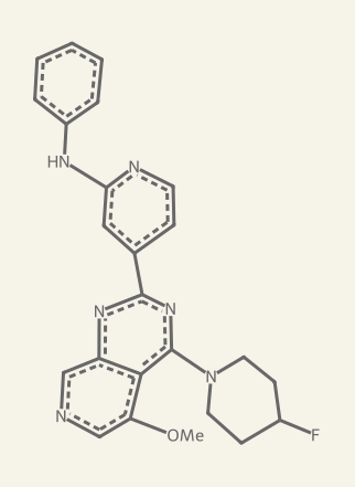 COc1cncc2nc(-c3ccnc(Nc4ccccc4)c3)nc(N3CCC(F)CC3)c12